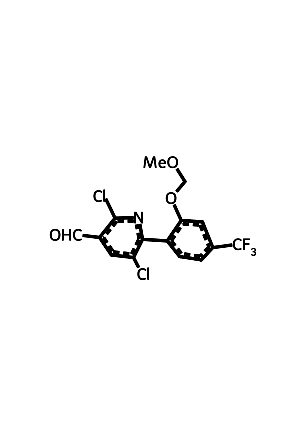 COCOc1cc(C(F)(F)F)ccc1-c1nc(Cl)c(C=O)cc1Cl